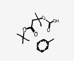 CC(C)(C)OC(=O)CC(C)(C)OC(=O)O.Cc1ccccc1